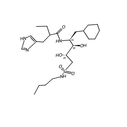 CCCCNS(=O)(=O)C[C@H](O)[C@H](O)[C@H](CC1CCCCC1)NC(=O)C(CC)Cc1c[nH]cn1